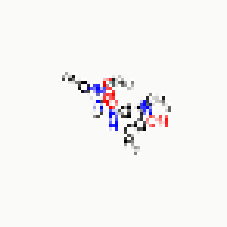 CC(=O)c1ccc(C[C@H](NC(=O)OC(C)(C)C)C(=O)N2CCCCC2C(=O)Nc2ccc(-c3cn(C)nc3-c3cc(C)ccc3O)cc2)cc1